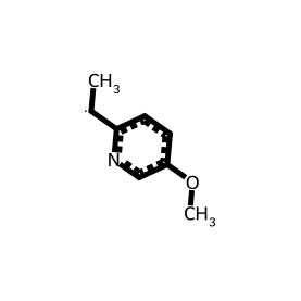 C[CH]c1ccc(OC)cn1